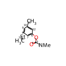 CCC.CNC(=O)Oc1cccc(C)c1